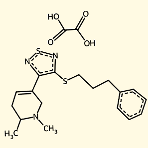 CC1CC=C(c2nsnc2SCCCc2ccccc2)CN1C.O=C(O)C(=O)O